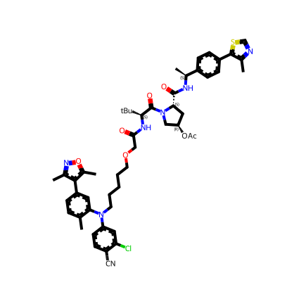 CC(=O)O[C@@H]1C[C@@H](C(=O)N[C@@H](C)c2ccc(-c3scnc3C)cc2)N(C(=O)[C@@H](NC(=O)COCCCCCN(c2ccc(C#N)c(Cl)c2)c2cc(-c3c(C)noc3C)ccc2C)C(C)(C)C)C1